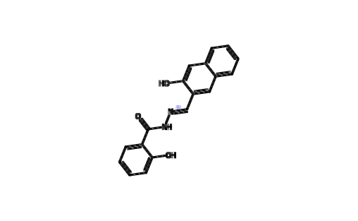 O=C(N/N=C/c1cc2ccccc2cc1O)c1ccccc1O